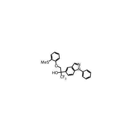 CSc1ccccc1OCC(O)(c1ccc2c(cnn2-c2ccccc2)c1)C(F)(F)F